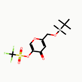 CC(C)(C)[Si](C)(C)OCc1cc(=O)c(OS(=O)(=O)C(F)(F)F)co1